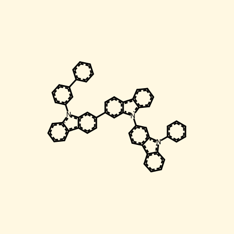 c1ccc(-c2cccc(-n3c4ccccc4c4ccc(-c5ccc6c7ccccc7n(-c7ccc8c9ccccc9n(-c9ccccc9)c8c7)c6c5)cc43)c2)cc1